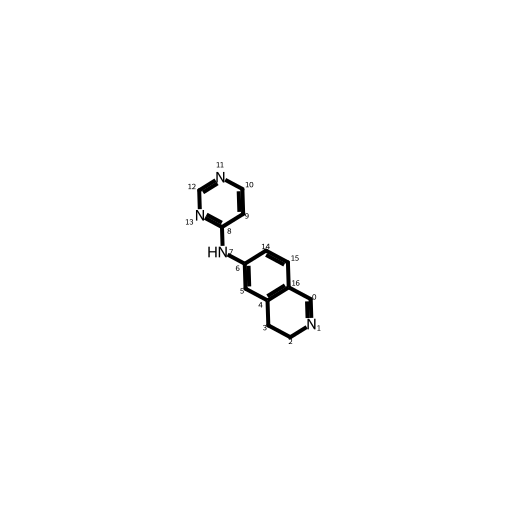 C1=NCCc2cc(Nc3ccncn3)ccc21